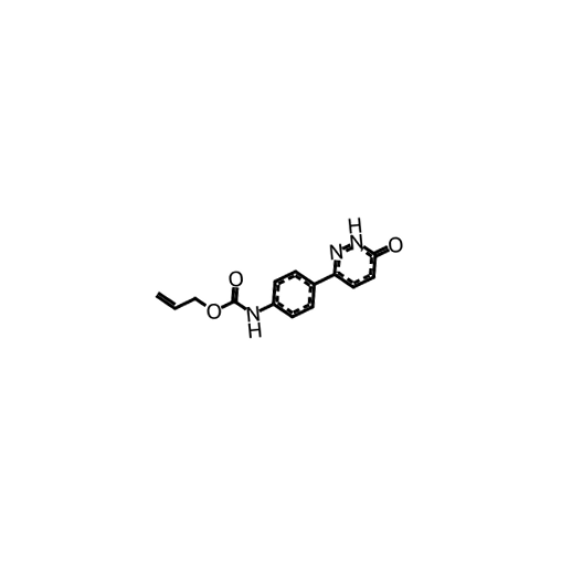 C=CCOC(=O)Nc1ccc(-c2ccc(=O)[nH]n2)cc1